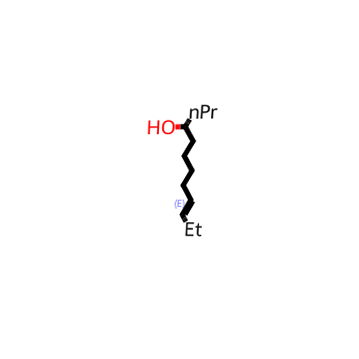 CC/C=C/CCCCC(O)CCC